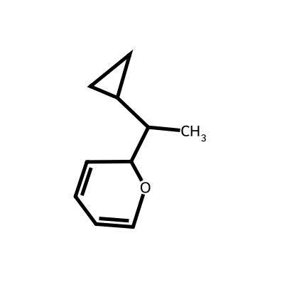 CC(C1CC1)C1C=CC=CO1